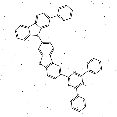 c1ccc(-c2ccc3c4ccccc4n(-c4ccc5c(c4)sc4ccc(-c6nc(-c7ccccc7)nc(-c7ccccc7)n6)cc45)c3c2)cc1